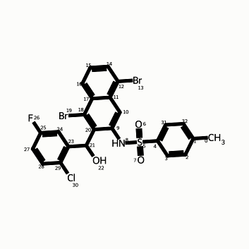 Cc1ccc(S(=O)(=O)Nc2cc3c(Br)cccc3c(Br)c2C(O)c2cc(F)ccc2Cl)cc1